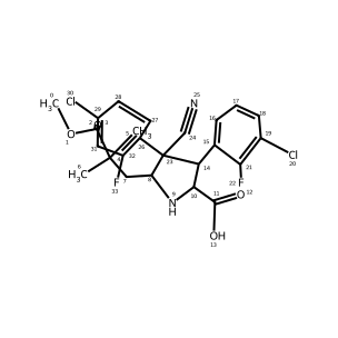 COC(=O)C(C)(C)CC1NC(C(=O)O)C(c2cccc(Cl)c2F)C1(C#N)c1ccc(Cl)cc1F